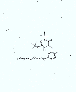 Cc1ccc(OCCOCCOSI)cc1CC(NC(=O)OC(C)(C)C)C(=O)OC(C)(C)C